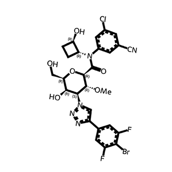 CO[C@@H]1[C@@H](n2cc(-c3cc(F)c(Br)c(F)c3)nn2)[C@@H](O)[C@@H](CO)O[C@H]1C(=O)N(c1cc(Cl)cc(C#N)c1)[C@@H]1CC[C@H]1O